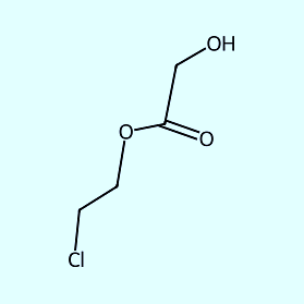 O=C(CO)OCCCl